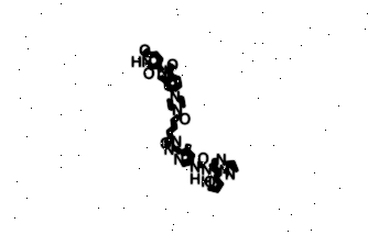 Cc1cc(NC(=O)Nc2cnc3ccnn3c2C2CCCO2)cnc1-c1noc(CCCC(=O)N2CCN(c3ccc4c(c3)CN(C3CCC(=O)NC3=O)C4=O)CC2)n1